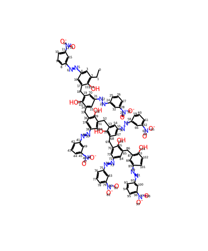 CCc1cc(N=Nc2cccc([N+](=O)[O-])c2)cc(Cc2cc(N=Nc3cccc([N+](=O)[O-])c3)cc(Cc3cc(N=Nc4cccc([N+](=O)[O-])c4)cc(Cc4cc(N=Nc5cccc([N+](=O)[O-])c5)cc(Cc5cc(N=Nc6cccc([N+](=O)[O-])c6)cc(Cc6cc(N=Nc7cccc([N+](=O)[O-])c7)ccc6O)c5O)c4O)c3O)c2O)c1O